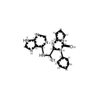 CCC(Nc1ncnc2[nH]cnc12)c1nc2cccn2c(=O)n1-c1ccccc1